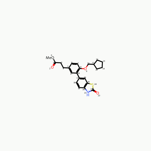 COC(=O)CCc1ccc(OCC2CCCC2)c(-c2ccc3[nH]c(=O)sc3c2)c1